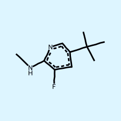 CNc1ncc(C(C)(C)C)cc1F